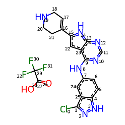 Clc1n[nH]c2ccc(Nc3ncnc4[nH]c(C5=CCNCC5)cc34)cc12.O=C(O)C(F)(F)F